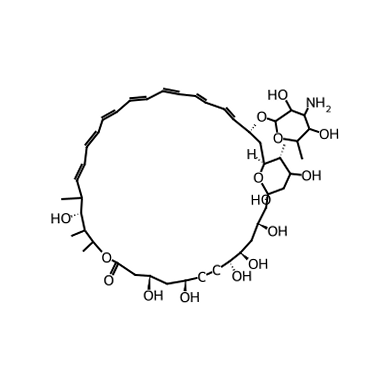 CC1OC(O[C@H]2/C=C/C=C/C=C/C=C/C=C/C=C/C=C/C(C)[C@@H](O)C(C)C(C)OC(=O)C[C@H](O)C[C@H](O)CC[C@@H](O)[C@H](O)C[C@H](O)C[C@]3(O)CC(O)[C@@H](C)[C@H](C2)O3)C(O)C(N)C1O